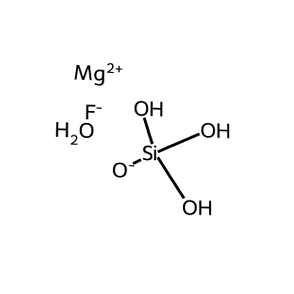 O.[F-].[Mg+2].[O-][Si](O)(O)O